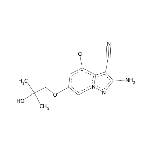 CC(C)(O)COc1cc(Cl)c2c(C#N)c(N)nn2c1